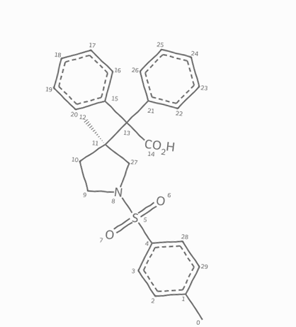 Cc1ccc(S(=O)(=O)N2CC[C@@](C)(C(C(=O)O)(c3ccccc3)c3ccccc3)C2)cc1